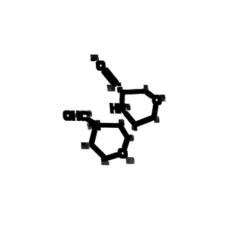 C1COCCN1.O=CN1CCOCC1.[CH]=O